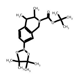 CC1c2ccc(B3OC(C)(C)C(C)(C)O3)cc2CN(C(=O)OC(C)(C)C)C1C